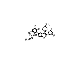 CON(C)C(=O)Nc1c(C#N)cc(F)c(F)c1-c1ccc2ncc(-c3cc(F)cc(F)c3)c(N3CCC(N)CC3)c2c1